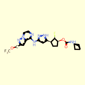 O=C(NC12CC(C1)C2)O[C@H]1CC[C@@H](c2cc(Nc3nccn4nc(COC(F)(F)F)cc34)n[nH]2)[C@H]1F